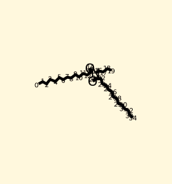 CCCCCCCCCCCCCC(=O)N(CCCC)C(=O)CCCCCCCCCCCCC